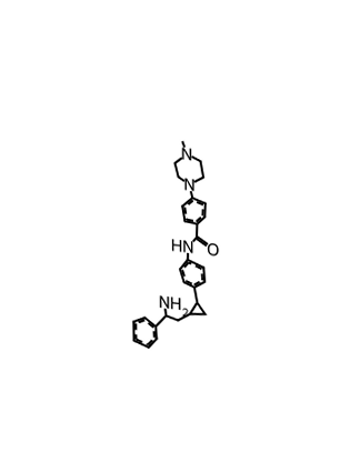 CN1CCN(c2ccc(C(=O)Nc3ccc(C4CC4CC(N)c4ccccc4)cc3)cc2)CC1